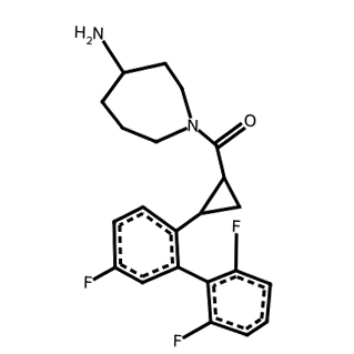 NC1CCCN(C(=O)C2CC2c2ccc(F)cc2-c2c(F)cccc2F)CC1